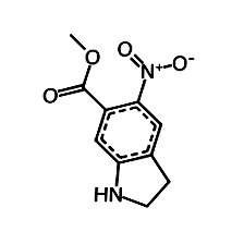 COC(=O)c1cc2c(cc1[N+](=O)[O-])CCN2